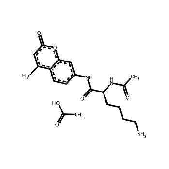 CC(=O)N[C@@H](CCCCN)C(=O)Nc1ccc2c(C)cc(=O)oc2c1.CC(=O)O